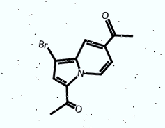 CC(=O)c1ccn2c(C(C)=O)cc(Br)c2c1